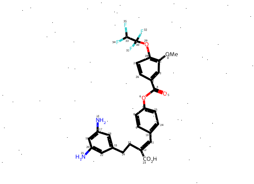 COc1cc(C(=O)Oc2ccc(/C=C(\CCc3cc(N)cc(N)c3)C(=O)O)cc2)ccc1OC(F)(F)C(F)F